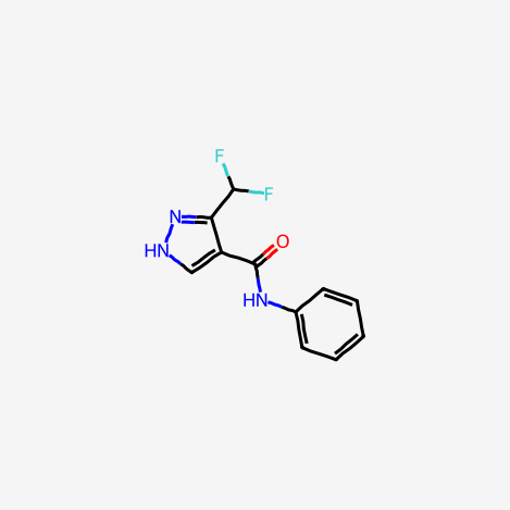 O=C(Nc1ccccc1)c1c[nH]nc1C(F)F